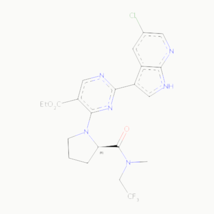 CCOC(=O)c1cnc(-c2c[nH]c3ncc(Cl)cc23)nc1N1CCC[C@@H]1C(=O)N(C)CC(F)(F)F